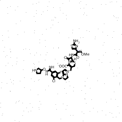 CO/N=C(\C(=O)N[C@@H]1C(=O)N2C(C(=O)[O-])=C(C[n+]3ccc4n3CCN4Cc3c(F)cc(C(=N)NOC4CCNC4)cc3Cl)CS[C@H]12)c1csc(N)n1